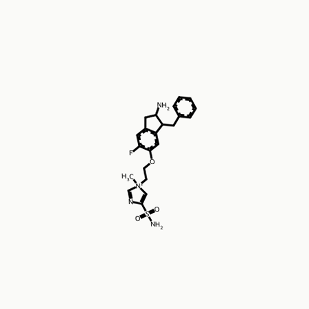 C[N+]1(CCOc2cc3c(cc2F)CC(N)C3Cc2ccccc2)C=NC(S(N)(=O)=O)=C1